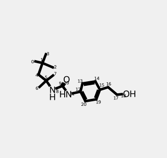 CC(C)(C)CC(C)(C)NC(=O)Nc1ccc(CCO)cc1